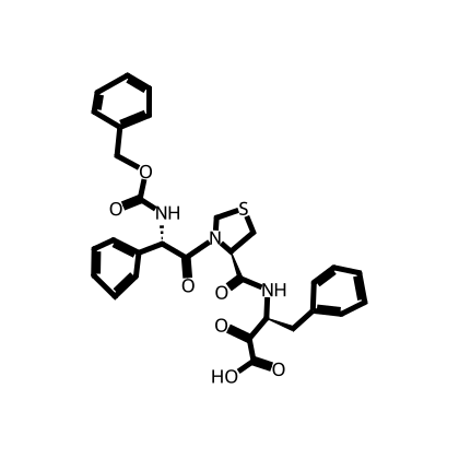 O=C(N[C@H](C(=O)N1CSC[C@H]1C(=O)N[C@@H](Cc1ccccc1)C(=O)C(=O)O)c1ccccc1)OCc1ccccc1